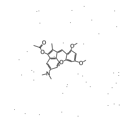 COc1cc(OC)c(C=C2C(C)=C(OC(C)=O)c3cc(N(C)C)ccc32)c(OC)c1